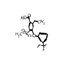 CCc1cc(Oc2cccc(C(F)(F)F)c2)c(S(C)(=O)=O)cc1C(=O)O